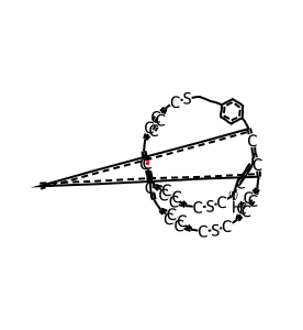 C1=C[C@@H]2CC=C1c1cc3cc(c1)-c1ccc(cc1)CSCc1ccc(cc1)-c1cc(cc(c1)-c1ccc(cc1)CSC2)-c1ccc(cc1)CSCc1ccc-3cc1